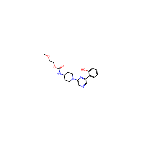 COCCOC(=O)NC1CCN(c2cncc(-c3ccccc3O)n2)CC1